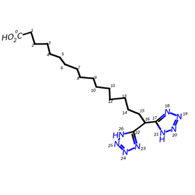 O=C(O)CCCCCCCCCCCCCCCC(c1nnn[nH]1)c1nnn[nH]1